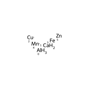 [AlH3].[CaH2].[Cu].[Fe].[Mn].[Zn]